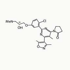 CNC[C@@H](O)COc1ccc(Cl)c(-c2nc(-c3c(C)noc3C)c(C)c(N3CCCC3=O)n2)c1